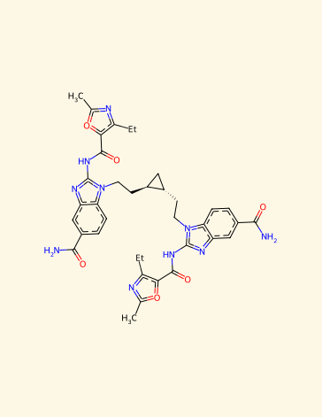 CCc1nc(C)oc1C(=O)Nc1nc2cc(C(N)=O)ccc2n1CC[C@H]1C[C@@H]1CCn1c(NC(=O)c2oc(C)nc2CC)nc2cc(C(N)=O)ccc21